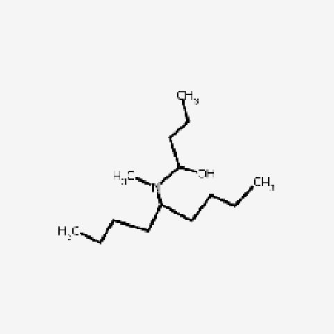 CCCCC(CCCC)N(C)C(O)CCC